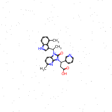 Cc1ccc2c(n1)n(C(CC(=O)O)c1cccnc1)c(=O)n2C(C)c1c[nH]c2cccc(C)c12